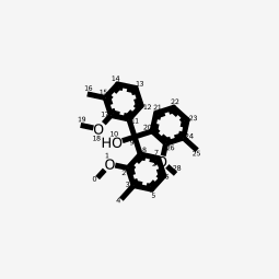 COc1c(C)cccc1C(O)(c1cccc(C)c1OC)c1cccc(C)c1OC